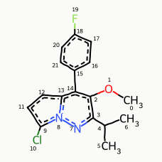 COc1c(C(C)C)nn2c(Cl)ccc2c1-c1ccc(F)cc1